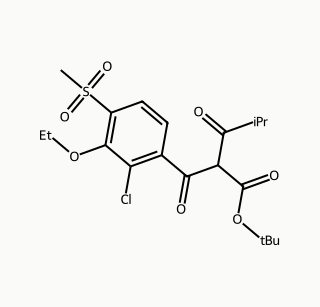 CCOc1c(S(C)(=O)=O)ccc(C(=O)C(C(=O)OC(C)(C)C)C(=O)C(C)C)c1Cl